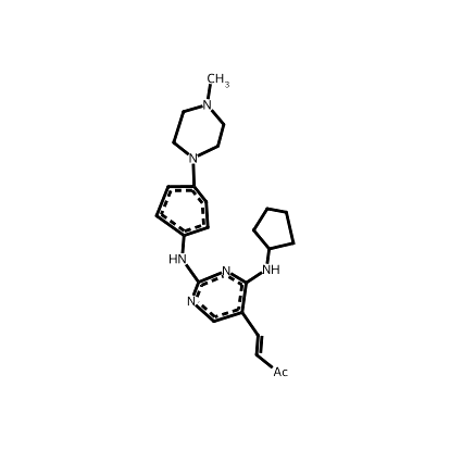 CC(=O)C=Cc1cnc(Nc2ccc(N3CCN(C)CC3)cc2)nc1NC1CCCC1